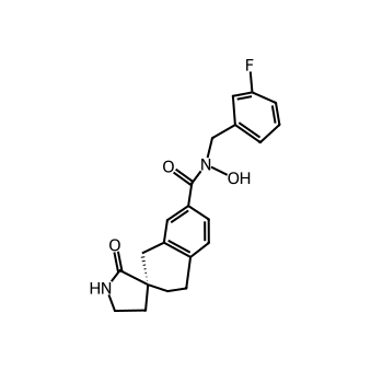 O=C(c1ccc2c(c1)C[C@@]1(CCNC1=O)CC2)N(O)Cc1cccc(F)c1